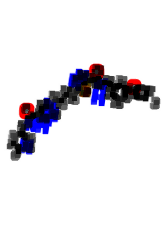 Cc1ccc(CNC(=O)c2cn(CCCCc3nnc(C(=O)NCc4cccc(OC(F)(F)F)c4)s3)nn2)cn1